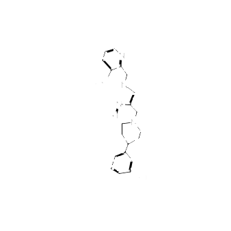 COc1cccnc1CN/C=C(/CN1CCC(c2cccc(O)c2)CC1)N=N